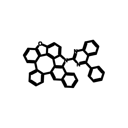 c1ccc(-c2nc(-n3c4ccc5oc6cccc7c8ccccc8c8cc9ccccc9c3c8c4c5c67)nc3ccccc23)cc1